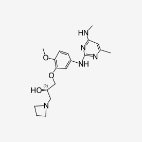 CNc1cc(C)nc(Nc2ccc(OC)c(OC[C@H](O)CN3CCC3)c2)n1